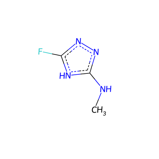 CNc1nnc(F)[nH]1